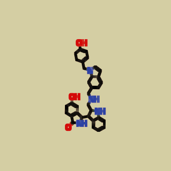 O=C1NC(C2c3ccccc3NC2CNCC2=CC=C3C=CN(CC4=CC=C(O)CC4)C3C2)c2cc(O)ccc21